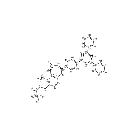 CC1=Nc2c(ccc(CCC(C)C(C)(C)C)c2N)CC(c2ccc(-c3nc(-c4ccccc4)nc(-c4ccccn4)n3)cc2)=C1